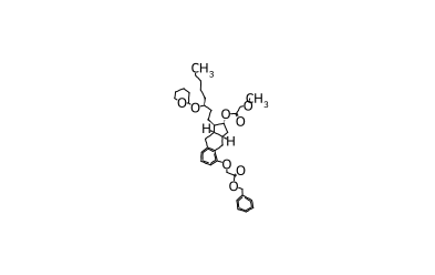 CCCCC[C@@H](CC[C@@H]1[C@H]2Cc3cccc(OCC(=O)OCc4ccccc4)c3C[C@H]2C[C@H]1OC(=O)COC)OC1CCCCO1